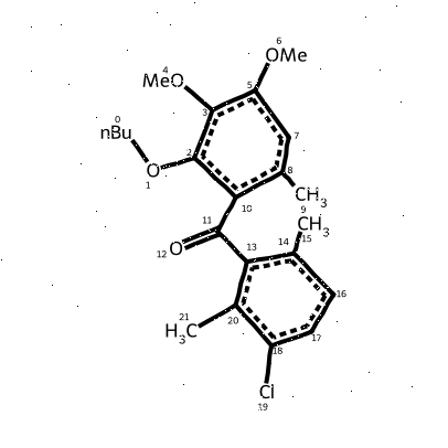 CCCCOc1c(OC)c(OC)cc(C)c1C(=O)c1c(C)ccc(Cl)c1C